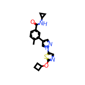 Cc1ccc(C(=O)NC2CC2)cc1-c1cnn(-c2cnc(OC3CCC3)s2)c1